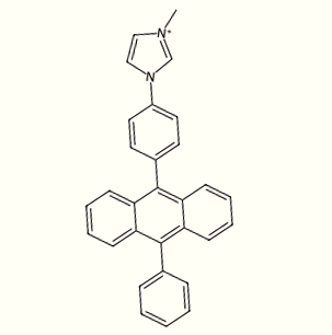 C[n+]1ccn(-c2ccc(-c3c4ccccc4c(-c4ccccc4)c4ccccc34)cc2)c1